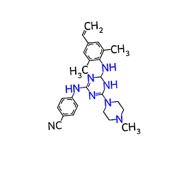 C=Cc1cc(C)c(NC2N=C(Nc3ccc(C#N)cc3)N=C(N3CCN(C)CC3)N2)c(C)c1